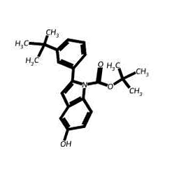 CC(C)(C)OC(=O)n1c(-c2cccc(C(C)(C)C)c2)cc2cc(O)ccc21